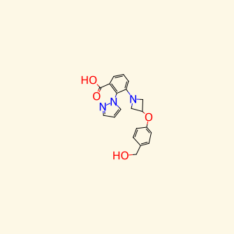 O=C(O)c1cccc(N2CC(Oc3ccc(CO)cc3)C2)c1-n1cccn1